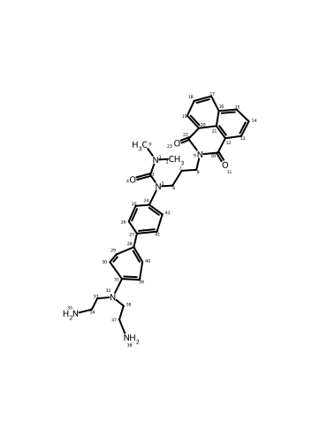 CN(C)C(=O)N(CCCN1C(=O)c2cccc3cccc(c23)C1=O)c1ccc(-c2ccc(N(CCN)CCN)cc2)cc1